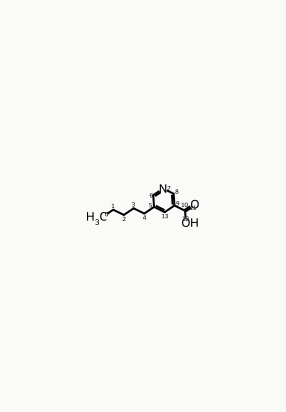 CCCCCc1cncc(C(=O)O)c1